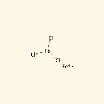 [Cl][Fe]([Cl])[Cl].[Fe+3]